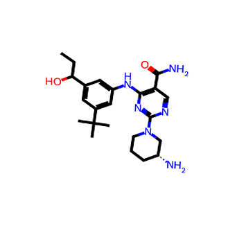 CCC(O)c1cc(Nc2nc(N3CCC[C@@H](N)C3)ncc2C(N)=O)cc(C(C)(C)C)c1